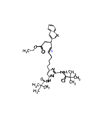 CCOC(=O)CC(/C=C/CCCCc1cc(NC(=O)C(C)(C)C)nc(NC(=O)C(C)(C)C)n1)c1cnc2ccccc2c1